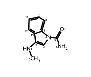 CNc1cn(C(N)=O)c2ccccc12